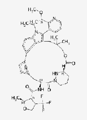 CCn1c(-c2cccnc2[C@H](C)OC)c2c3cc(ccc31)-c1csc(n1)C[C@H](NC(=O)[C@@H]1C(C(F)(F)F)CO[C@H]1C)C(=O)N1CCC[C@H](N1)C(=O)OCC(C)(C)C2